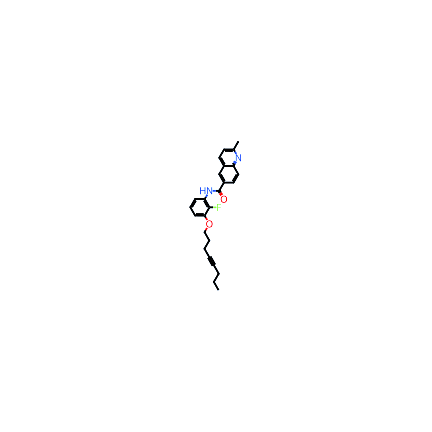 CCCC#CCCCOc1cccc(NC(=O)c2ccc3nc(C)ccc3c2)c1F